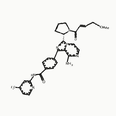 COCC=CC(=O)N1CCC[C@H]1c1nc(-c2ccc(C(=O)Nc3cc(C(F)(F)F)ccn3)cc2)c2c(N)nccn12